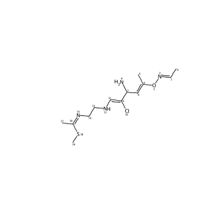 C/C=N/O/C(C)=C/C(N)/C(Cl)=C/NCC/N=C(/C)SC